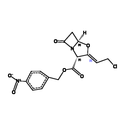 O=C(OCc1ccc([N+](=O)[O-])cc1)[C@H]1/C(=C/CCl)O[C@@H]2CC(=O)N21